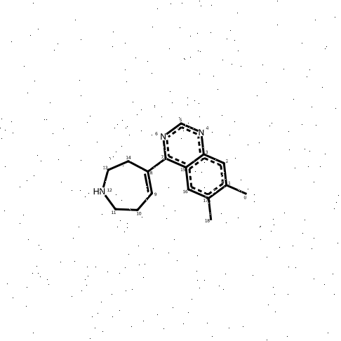 Cc1cc2ncnc(C3=CCCNCC3)c2cc1C